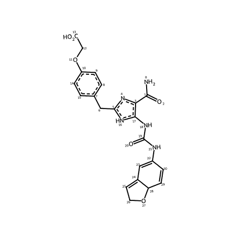 NC(=O)c1nc(Cc2ccc(OCC(=O)O)cc2)[nH]c1NC(=O)NC1=CC2=CCOC2C=C1